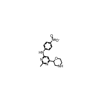 Cc1nc(Nc2ccc([N+](=O)[O-])cc2)cc(C2CNCCO2)n1